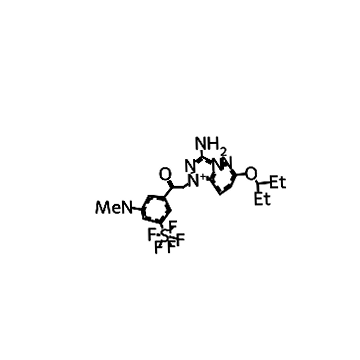 CCC(CC)Oc1ccc2n(n1)c(N)n[n+]2CC(=O)c1cc(NC)cc(S(F)(F)(F)(F)F)c1